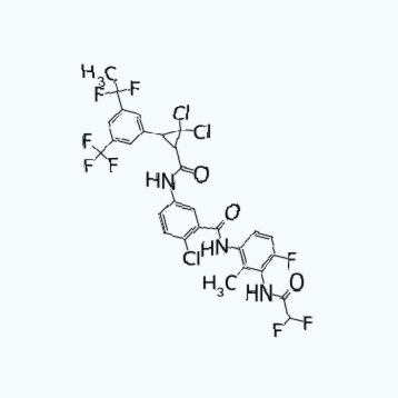 Cc1c(NC(=O)c2cc(NC(=O)C3C(c4cc(C(C)(F)F)cc(C(F)(F)F)c4)C3(Cl)Cl)ccc2Cl)ccc(F)c1NC(=O)C(F)F